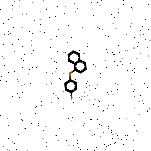 Fc1ccc(Sc2cccc3ccccc23)cc1